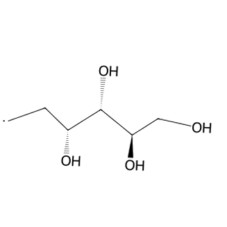 [CH2]C[C@@H](O)[C@H](O)[C@H](O)CO